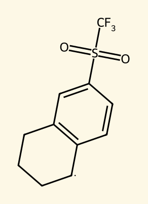 O=S(=O)(c1ccc2c(c1)CCC[CH]2)C(F)(F)F